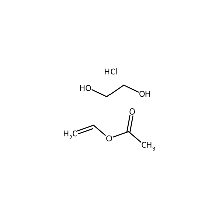 C=COC(C)=O.Cl.OCCO